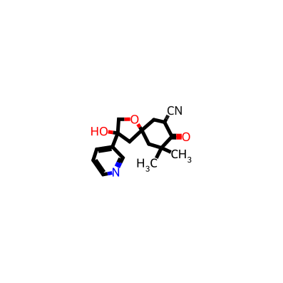 CC1(C)CC2(CC(C#N)C1=O)CC(O)(c1cccnc1)CO2